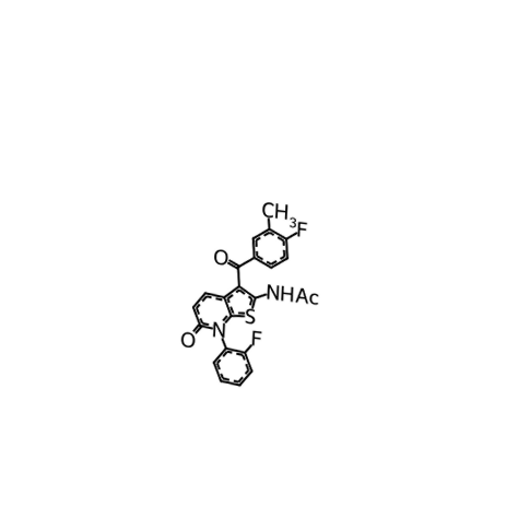 CC(=O)Nc1sc2c(ccc(=O)n2-c2ccccc2F)c1C(=O)c1ccc(F)c(C)c1